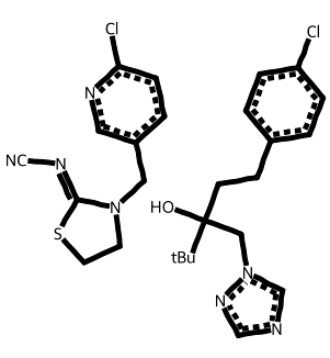 CC(C)(C)C(O)(CCc1ccc(Cl)cc1)Cn1cncn1.N#C/N=C1\SCCN1Cc1ccc(Cl)nc1